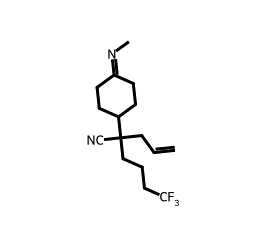 C=CCC(C#N)(CCCC(F)(F)F)C1CCC(=NC)CC1